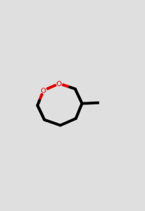 CC1CCCCOOC1